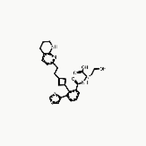 O=C(N[C@@H](CCO)C(=O)O)c1cccc(-c2cncs2)c1C1CC(CCc2ccc3c(n2)NCCC3)C1